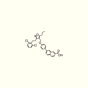 CCCc1onc(CCc2c(Cl)cccc2Cl)c1COc1ccc(-c2ccc3ccc(C(=O)O)cc3c2)cc1